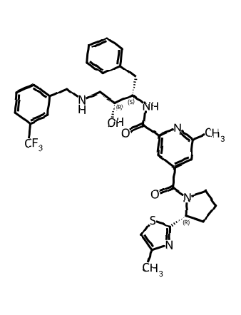 Cc1cc(C(=O)N2CCC[C@@H]2c2nc(C)cs2)cc(C(=O)N[C@@H](Cc2ccccc2)[C@H](O)CNCc2cccc(C(F)(F)F)c2)n1